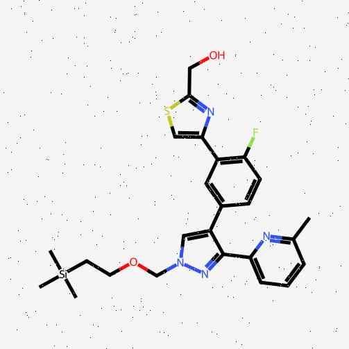 Cc1cccc(-c2nn(COCC[Si](C)(C)C)cc2-c2ccc(F)c(-c3csc(CO)n3)c2)n1